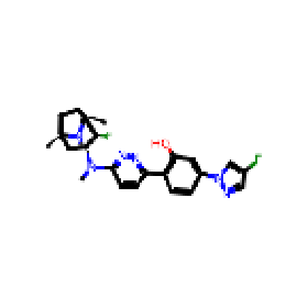 CN(c1ccc(-c2ccc(-n3cc(F)cn3)cc2O)nn1)[C@H]1C[C@]2(C)CC[C@](C)([C@H]1F)N2C